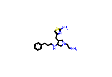 NCCN1CC(Cc2csc(N)n2)C(NCCCc2ccccc2)C1